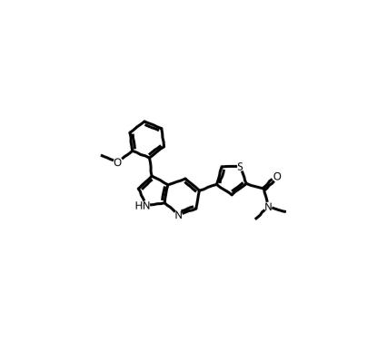 COc1ccccc1-c1c[nH]c2ncc(-c3csc(C(=O)N(C)C)c3)cc12